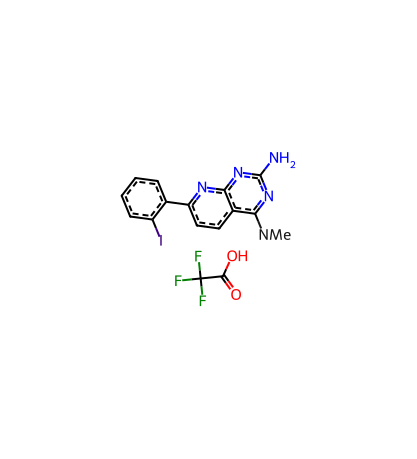 CNc1nc(N)nc2nc(-c3ccccc3I)ccc12.O=C(O)C(F)(F)F